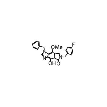 COc1c2c(c(O)c3ncn(Cc4ccccc4)c13)C(=O)N(Cc1ccc(F)cc1)C2